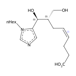 CCCCCCn1cncc1[C@@H](O)[C@H](CO)C/C=C\CCC(=O)O